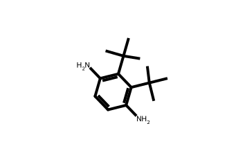 CC(C)(C)c1c(N)ccc(N)c1C(C)(C)C